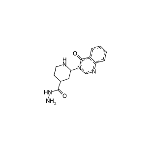 NNC(=O)C1CCNC(n2cnc3ccccc3c2=O)C1